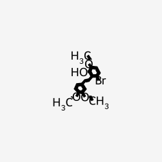 CCOc1ccc(/C=C/c2c(Br)ccc(OCC)c2O)cc1OCC